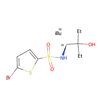 CC[C@H](C)[C@H](NS(=O)(=O)c1ccc(Br)s1)C(O)(CC)CC